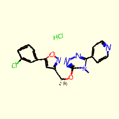 C[C@@H](Oc1nnc(-c2ccncc2)n1C)c1cc(-c2cccc(Cl)c2)on1.Cl